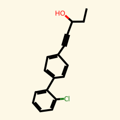 CCC(O)C#Cc1ccc(-c2ccccc2Cl)cc1